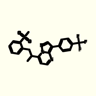 CC(Cc1ccccc1S(C)(=O)=O)c1ccnc2c(-c3ccc(C(F)(F)F)cc3)cnn12